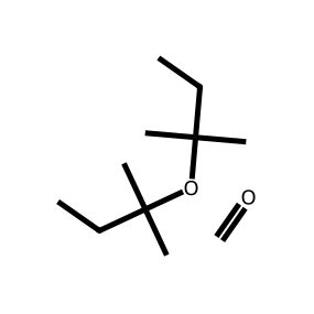 C=O.CCC(C)(C)OC(C)(C)CC